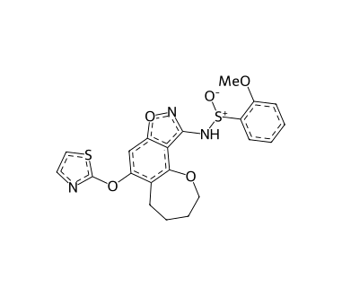 COc1ccccc1[S+]([O-])Nc1noc2cc(Oc3nccs3)c3c(c12)OCCCC3